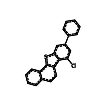 Clc1cc(-c2ccccc2)cc2sc3c4ccccc4ccc3c12